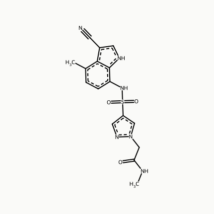 CNC(=O)Cn1cc(S(=O)(=O)Nc2ccc(C)c3c(C#N)c[nH]c23)cn1